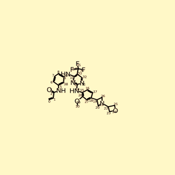 C=CC(=O)Nc1cccc(Nc2nc(Nc3ccc(C4CN(C5COC5)C4)cc3OC)ncc2C(F)(F)F)c1